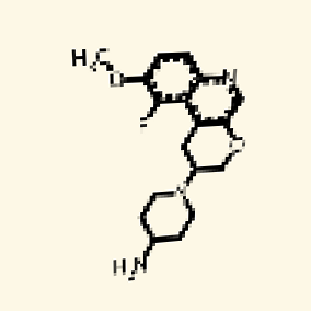 COc1ccc2ncc3c(c2c1F)CC(N1CCC(N)CC1)CO3